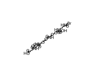 O=C(O)CCCC(=O)NC(CCC(=O)NCCOCCOCC(=O)NCCOCCOCC(=O)NC(CCCCNC(=O)CBr)C(=O)O)C(=O)O